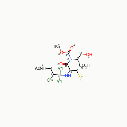 CC(=O)NCC(Cl)C(Cl)(Cl)NC(CS)C(=O)N(C(=O)OC(C)(C)C)C(CO)C(=O)O